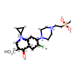 CS(=O)(=O)CCN1CCN(c2cc3c(cc2F)c(=O)c(C(=O)O)cn3C2CC2)CC1